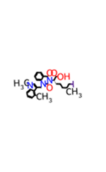 Cc1cccc2c1c(Cn1c(=O)n([C@@H](CCCC(C)CI)C(=O)O)c(=O)c3ccccc31)cn2C